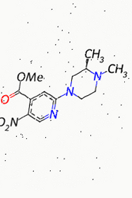 COC(=O)c1cc(N2CCN(C)[C@H](C)C2)ncc1[N+](=O)[O-]